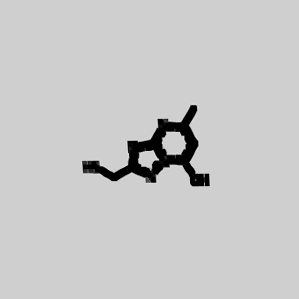 Cc1cc(O)n2nc(CS)nc2n1